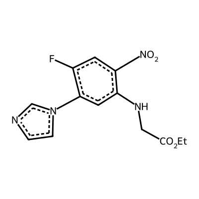 CCOC(=O)CNc1cc(-n2ccnc2)c(F)cc1[N+](=O)[O-]